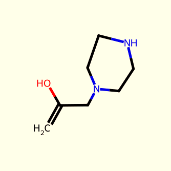 C=C(O)CN1CCNCC1